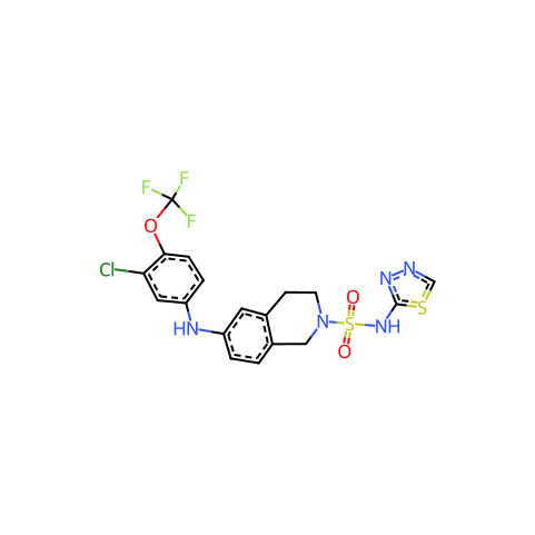 O=S(=O)(Nc1nncs1)N1CCc2cc(Nc3ccc(OC(F)(F)F)c(Cl)c3)ccc2C1